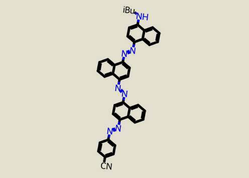 CCC(C)Nc1ccc(/N=N/c2ccc(/N=N/c3ccc(/N=N/c4ccc(C#N)cc4)c4ccccc34)c3ccccc23)c2ccccc12